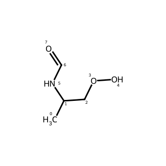 CC(COO)NC=O